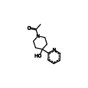 CC(=O)N1CCC(O)(c2ccccn2)CC1